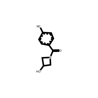 N#Cc1ccc(C(=O)N2CC(O)C2)cc1